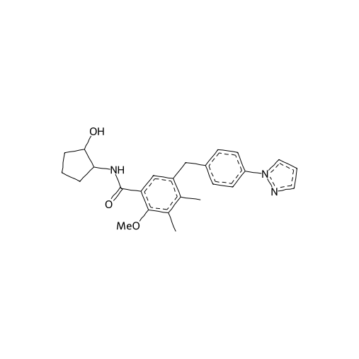 COc1c(C(=O)NC2CCCC2O)cc(Cc2ccc(-n3cccn3)cc2)c(C)c1C